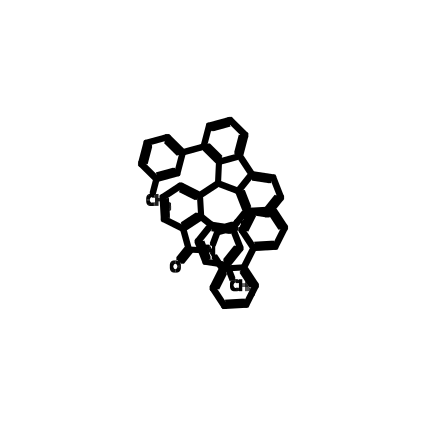 Cc1cccc(-c2cccc3c2C(c2cccc4c2C(=O)N(c2ccccc2-c2ccccc2)C4=O)c2c(-c4cccc(C)c4)cccc2-3)c1